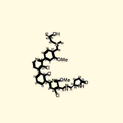 COc1cc(-c2nccc(-c3cccc(-c4cc(Cl)c(CNC[C@H]5CCC(=O)N5)c(OC)n4)c3Cl)c2Cl)ccc1CN(C)C[C@@H](C)O